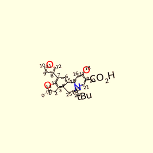 C[C@H]1Cc2c3c(cc(-c4ccoc4)c2O1)-c1cc(=O)c(C(=O)O)cn1[C@H](C(C)(C)C)C3